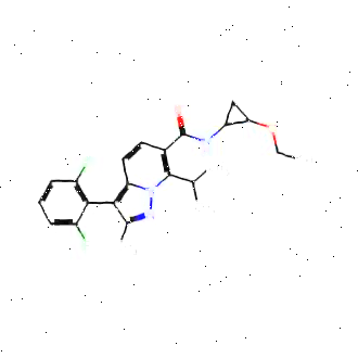 CCOC1CC1NC(=O)c1ccc2c(-c3c(F)cccc3F)c(C)nn2c1C(C)C